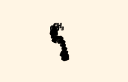 CS(=O)(=O)c1ccc(CN2CCN3CC(COCCCN4CCc5ccccc5C4)CCC3C2)cc1